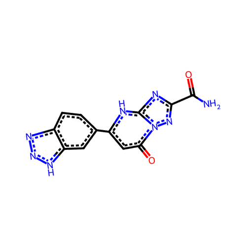 NC(=O)c1nc2[nH]c(-c3ccc4nn[nH]c4c3)cc(=O)n2n1